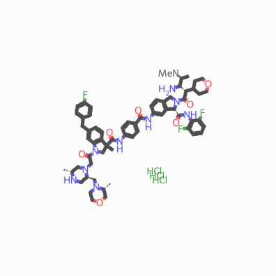 CN[C@@H](C)C(N)[C@@H](C(=O)N1Cc2ccc(NC(=O)c3ccc(NC(=O)C4(C)CN(C(=O)CN5C[C@@H](C)NC[C@@H]5CN5CCOC[C@H]5C)c5cc(Cc6ccc(F)cc6)ccc54)cc3)cc2[C@H]1C(=O)Nc1c(F)cccc1F)C1CCOCC1.Cl.Cl.Cl